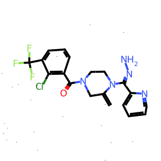 C=C1CN(C(=O)c2cccc(C(F)(F)F)c2Cl)CCN1/C(=N\N)c1ccccn1